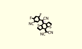 N#CC(C#N)=c1c2ccsc2/c(=C(/C#N)c2cc(C#N)c(F)cc2F)c2ccsc12